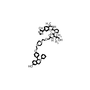 Cc1ncsc1-c1ccc([C@H](C)NC(=O)C2CCCN2C(=O)[C@@H](NC(=O)COCCN2CCN(CCOc3ccc(C4c5ccc(O)cc5CCN4c4ccccc4)cc3)CC2)C(C)(C)CO)cc1